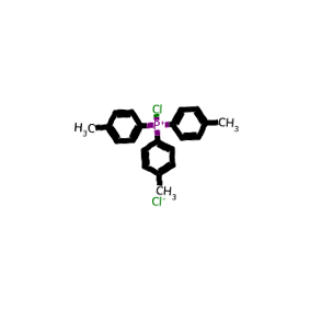 Cc1ccc([P+](Cl)(c2ccc(C)cc2)c2ccc(C)cc2)cc1.[Cl-]